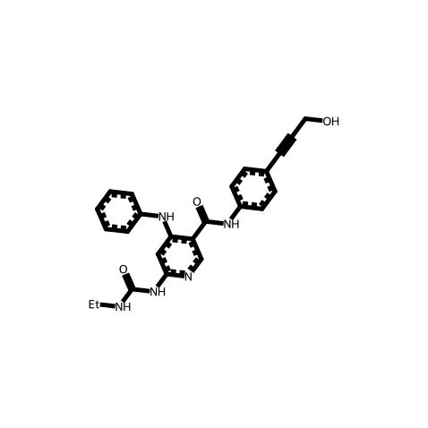 CCNC(=O)Nc1cc(Nc2ccccc2)c(C(=O)Nc2ccc(C#CCO)cc2)cn1